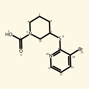 O=C(O)N1CCCC(Sc2ncccc2Br)C1